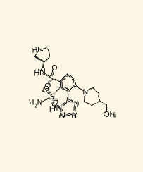 NS(=O)(=O)c1c(S(=O)(=O)N[C@@H]2CCNC2)ccc(N2CCC(CO)CC2)c1-c1nnn[nH]1